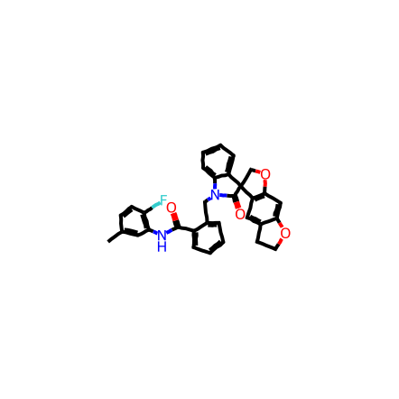 Cc1ccc(F)c(NC(=O)c2ccccc2CN2C(=O)C3(COc4cc5c(cc43)CCO5)c3ccccc32)c1